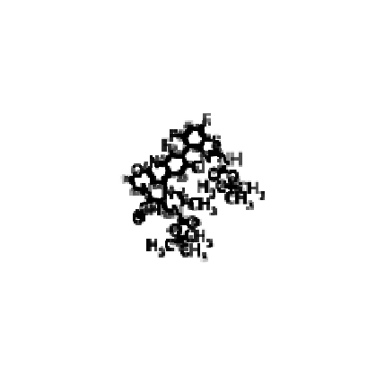 C[C@@H]1CN2c3c4c(nc5c(F)c(-c6c(F)cc(F)c7sc(NC(=O)OC(C)(C)C)nc67)c(Cl)cc35)OCCN4C(=C=O)[C@H]2CN1C(=O)OC(C)(C)C